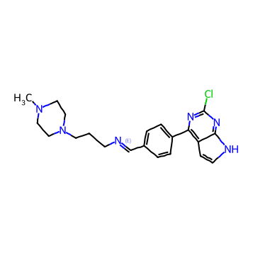 CN1CCN(CCC/N=C/c2ccc(-c3nc(Cl)nc4[nH]ccc34)cc2)CC1